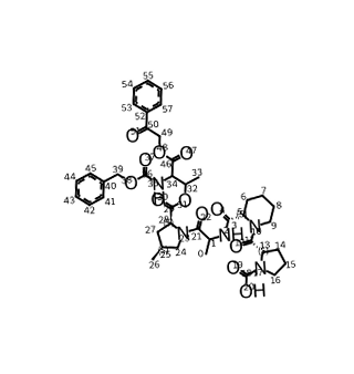 CC(NC(=O)[C@@H]1CCCCN1C(=O)[C@@H]1CCCN1C(=O)O)C(=O)N1C[C@@H](C)C[C@H]1C(=O)OC(C)C(NC(=O)OCc1ccccc1)C(=O)OCC(=O)c1ccccc1